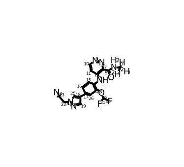 [2H]C([2H])([2H])NC(=O)c1nnccc1Nc1ccc(-c2cnn(CC#N)c2)cc1OC(F)F